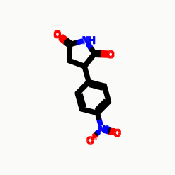 O=C1CC(c2ccc([N+](=O)[O-])cc2)C(=O)N1